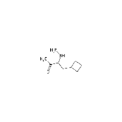 CC(=O)C(CC1CCC1)NP